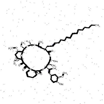 CCCCCCCCCCCCC/C=C/C[C@@H]1/C=C(\C)C[C@H](C)C[C@H](OC)[C@H]2O[C@@](O)(C(=O)C(=O)N3CCCC[C@H]3C(=O)O[C@H](/C(C)=C/[C@@H]3CC[C@@H](O)[C@H](OC)C3)[C@H](C)[C@@H](O)CC1=O)[C@H](C)C[C@@H]2OC